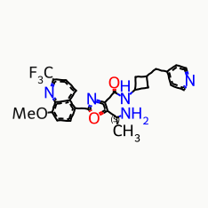 COc1ccc(-c2nc(C(=O)NC3CC(Cc4ccncc4)C3)c([C@H](C)N)o2)c2ccc(C(F)(F)F)nc12